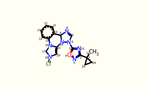 CC1(c2noc(N3C=NC4c5ccccc5N5CN(Cl)C=C5N43)n2)CC1